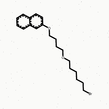 BrCCCCCCOCCCCOc1ccc2ccccc2c1